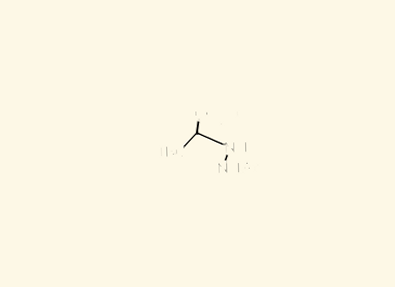 CCOC(=O)C(NNC(C)=O)C(C)(C)C